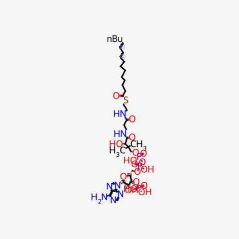 CCCC/C=C/C=C/CCCCCCCC(=O)SCCNC(=O)CCNC(=O)C(O)C(C)(C)COP(=O)(O)OP(=O)(O)OC[C@H]1O[C@@H](n2cnc3c(N)ncnc32)[C@H](O)[C@@H]1OP(=O)(O)O